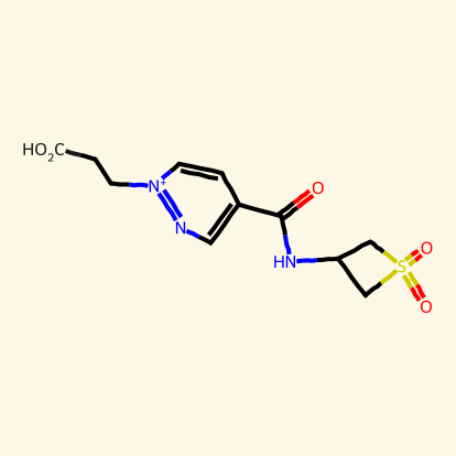 O=C(O)CC[n+]1ccc(C(=O)NC2CS(=O)(=O)C2)cn1